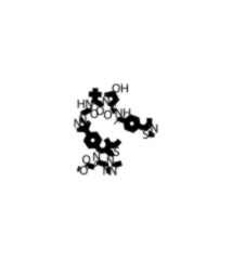 COC(=O)C[C@@H]1N=C(c2ccc(-c3cnn(CC(=O)N[C@H](C(=O)N4C[C@H](O)C[C@H]4C(=O)N[C@@H](C)c4ccc(-c5scnc5C)cc4)C(C)(C)C)c3)cc2)c2c(sc(C)c2C)-n2c(C)nnc21